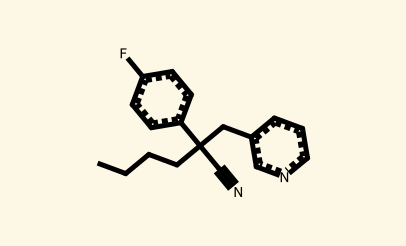 CCCCC(C#N)(Cc1cccnc1)c1ccc(F)cc1